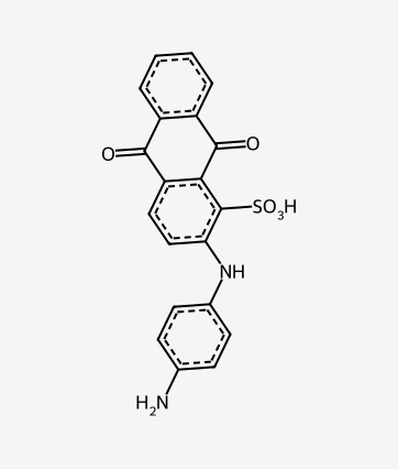 Nc1ccc(Nc2ccc3c(c2S(=O)(=O)O)C(=O)c2ccccc2C3=O)cc1